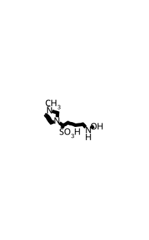 CN1C=CN(C(CCCNO)S(=O)(=O)O)C1